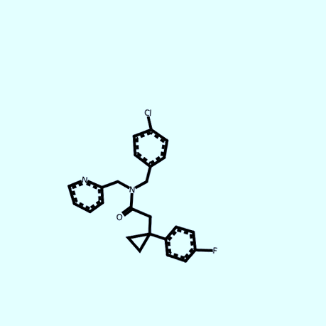 O=C(CC1(c2ccc(F)cc2)CC1)N(Cc1ccc(Cl)cc1)Cc1ccccn1